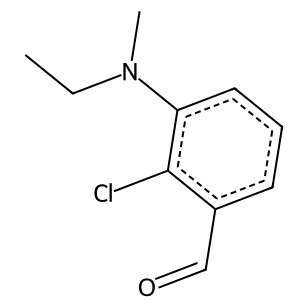 CCN(C)c1cccc(C=O)c1Cl